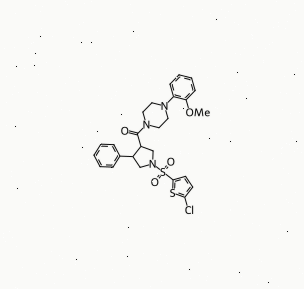 COc1ccccc1N1CCN(C(=O)C2CN(S(=O)(=O)c3ccc(Cl)s3)CC2c2ccccc2)CC1